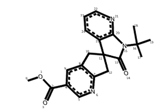 COC(=O)c1cnc2c(c1)CC1(C2)C(=O)N(C(C)(C)C)c2ncccc21